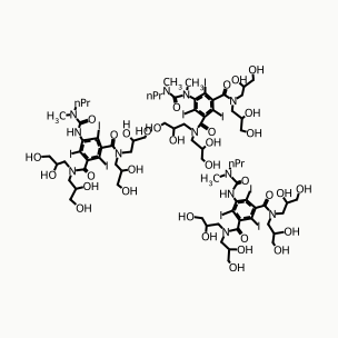 CCCN(C)C(=O)N(C)c1c(I)c(C(=O)N(CC(O)CO)CC(O)CO)c(I)c(C(=O)N(CC(O)CO)CC(O)CO)c1I.CCCN(C)C(=O)Nc1c(I)c(C(=O)N(CC(O)CO)CC(O)CO)c(I)c(C(=O)N(CC(O)CO)CC(O)CO)c1I.CCCN(C)C(=O)Nc1c(I)c(C(=O)N(CC(O)CO)CC(O)CO)c(I)c(C(=O)N(CC(O)CO)CC(O)CO)c1I